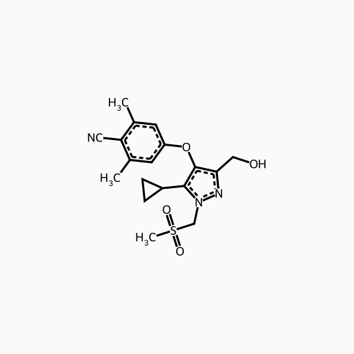 Cc1cc(Oc2c(CO)nn(CS(C)(=O)=O)c2C2CC2)cc(C)c1C#N